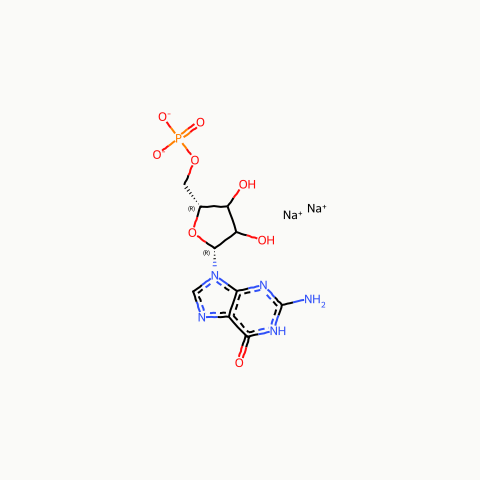 Nc1nc2c(ncn2[C@@H]2O[C@H](COP(=O)([O-])[O-])C(O)C2O)c(=O)[nH]1.[Na+].[Na+]